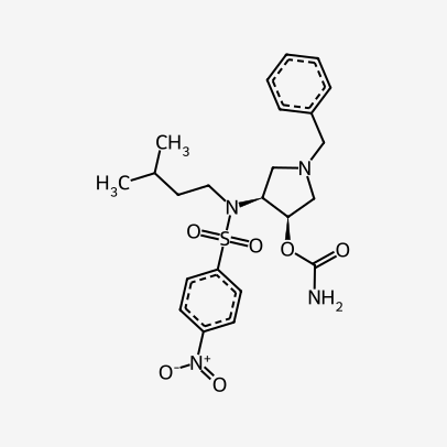 CC(C)CCN([C@H]1CN(Cc2ccccc2)C[C@H]1OC(N)=O)S(=O)(=O)c1ccc([N+](=O)[O-])cc1